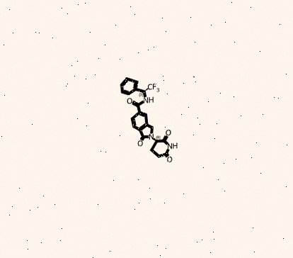 O=C1CC[C@@H](N2Cc3cc(C(=O)N[C@H](c4ccccc4)C(F)(F)F)ccc3C2=O)C(=O)N1